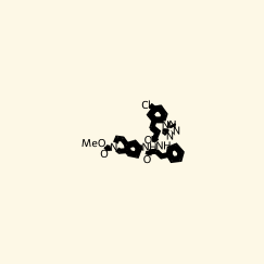 COC(=O)N1CCc2cc(NC(=O)C(Cc3ccccc3)NC(=O)C=Cc3cc(Cl)ccc3-n3cnnn3)ccc2C1